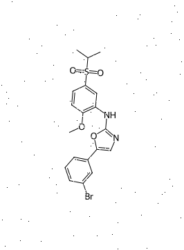 COc1ccc(S(=O)(=O)C(C)C)cc1Nc1ncc(-c2cccc(Br)c2)o1